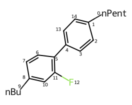 CCCCCc1ccc(-c2ccc(CCCC)cc2F)cc1